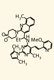 CCC(Nc1nc(-n2c(C)ccc2C)nc(C)c1/C=C/c1ncccc1OC)c1cc2cccc(C)c2nc1N1CCS(=O)(=O)CC1